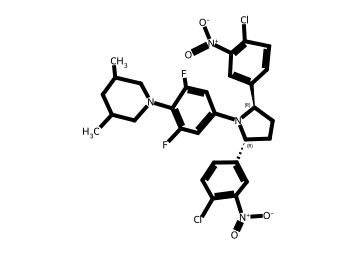 CC1CC(C)CN(c2c(F)cc(N3[C@@H](c4ccc(Cl)c([N+](=O)[O-])c4)CC[C@@H]3c3ccc(Cl)c([N+](=O)[O-])c3)cc2F)C1